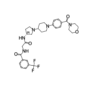 O=C(CNC(=O)c1cccc(C(F)(F)F)c1)N[C@@H]1CCN(C2CCN(c3ccc(C(=O)N4CCOCC4)cc3)CC2)C1